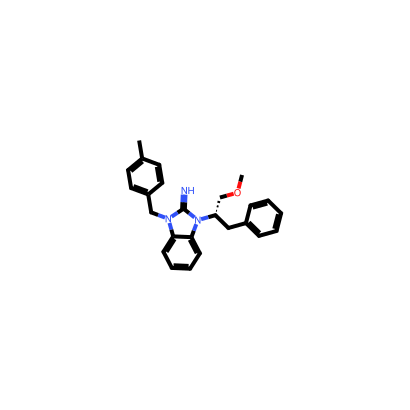 COC[C@H](Cc1ccccc1)n1c(=N)n(Cc2ccc(C)cc2)c2ccccc21